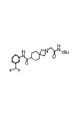 CC(C)(C)NC(=O)CN1CC2(CCC(C(=O)Nc3cccc(C(F)F)c3)CC2)C1